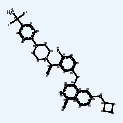 CC(F)(F)c1cnc(N2CCN(C(=O)c3cc(Cc4n[nH]c(=O)c5ccc(OC6CCC6)cc45)ccc3F)CC2)nc1